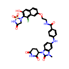 Cn1c(=O)n(C2CCC(=O)NC2=O)c2ccc(Nc3ccc(C(=O)NCCOc4ccc5cc(O)c(N6CC(=O)NS6(=O)=O)c(F)c5c4)cc3)cc21